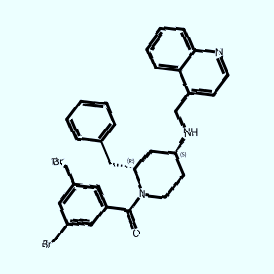 O=C(c1cc(Br)cc(Br)c1)N1CC[C@H](NCc2ccnc3ccccc23)C[C@H]1Cc1ccccc1